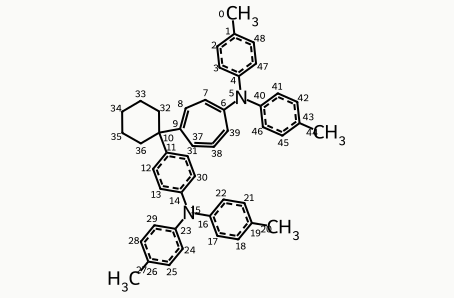 Cc1ccc(N(C2=CC=C(C3(c4ccc(N(c5ccc(C)cc5)c5ccc(C)cc5)cc4)CCCCC3)C=C=C2)c2ccc(C)cc2)cc1